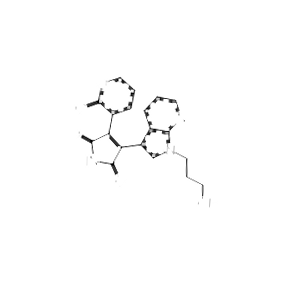 O=C1NC(=O)C(c2cn(CCCO)c3ncccc23)=C1c1cccoc1=O